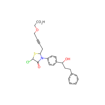 O=C(O)COCC#CCC1SC(Cl)C(=O)N1c1ccc(C(O)CCc2ccccc2)cc1